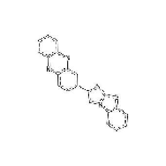 c1ccc2nc3cc(-c4cn5c(n4)sc4ccccc45)ccc3nc2c1